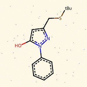 CC(C)(C)SCc1cc(O)n(-c2ccccc2)n1